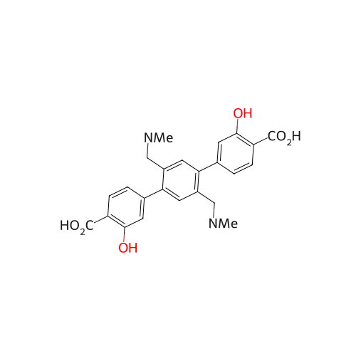 CNCc1cc(-c2ccc(C(=O)O)c(O)c2)c(CNC)cc1-c1ccc(C(=O)O)c(O)c1